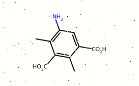 Cc1c(N)cc(C(=O)O)c(C)c1C(=O)O